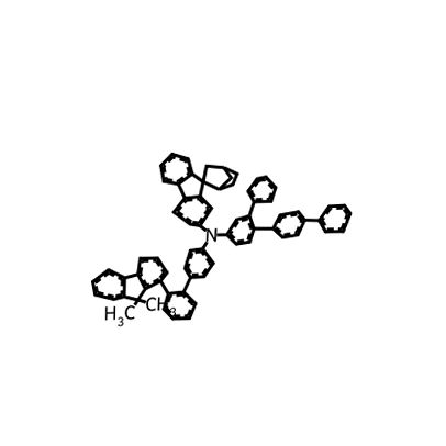 CC1(C)c2ccccc2-c2cccc(-c3ccccc3-c3ccc(N(c4ccc(-c5ccc(-c6ccccc6)cc5)c(-c5ccccc5)c4)c4ccc5c(c4)C4(CC6CCC4C6)c4ccccc4-5)cc3)c21